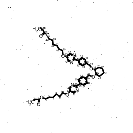 C=CC(=O)OCCCCCCOc1cnc(-c2ccc(CO[C@@H]3CCCC[C@H]3OCc3ccc(-c4ncc(OCCCCCCOC(=O)C=C)cn4)cc3)cc2)nc1